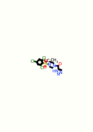 CC1(C)CN(C(=O)c2cnn[nH]2)CCN1S(=O)(=O)c1c(Cl)cc(Cl)cc1Cl